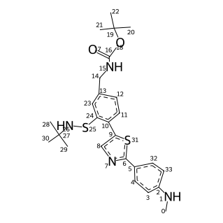 CNc1ccc(-c2ncc(-c3ccc(CNC(=O)OC(C)(C)C)cc3SNC(C)(C)C)s2)cc1